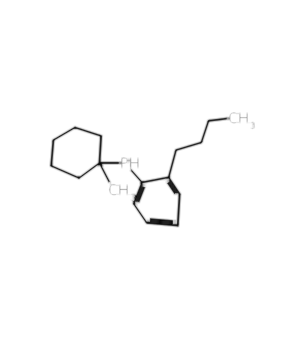 CCCCc1ccccc1PC1(C)CCCCC1